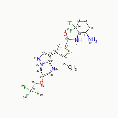 CCc1sc(C(=O)N[C@@H]2[C@H](N)CCCC2(F)F)cc1-c1cnn2cc(OCC(F)(F)F)cnc12